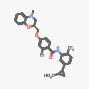 CCc1cc(OC[C@@H]2CN(C)c3ccccc3O2)ccc1C(=O)Nc1cc(C2CC2C(=O)O)ccc1C(F)(F)F